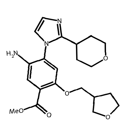 COC(=O)c1cc(N)c(-n2ccnc2C2CCOCC2)cc1OCC1CCOC1